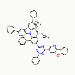 C=C/C=C(\C=C)c1cc(-c2nc(-c3ccccc3)nc(-c3cnc4c(c3)oc3ccccc34)n2)cc(-c2ccccc2)c1-n1c2ccc(-c3ccccc3)cc2c2cc(-c3ccccc3)ccc21